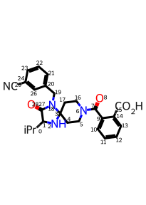 CC(C)C1NC2(CCN(C(=O)c3ccccc3C(=O)O)CC2)N(Cc2cccc(C#N)c2)C1=O